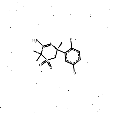 CC1(C)C(N)=N[C@](C)(c2cc(S)ccc2F)CS1(=O)=O